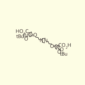 CC(C)(C)OC(=O)N1C[C@@H](OCCCN2CCN(CCCO[C@H]3C[C@@H](C(=O)O)N(C(=O)OC(C)(C)C)C3)CC2)C[C@H]1C(=O)O